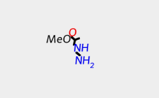 COC(=O)C(C)CNCCN